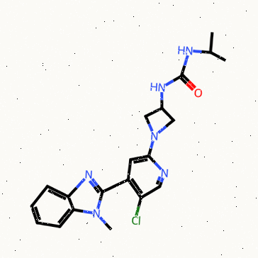 CC(C)NC(=O)NC1CN(c2cc(-c3nc4ccccc4n3C)c(Cl)cn2)C1